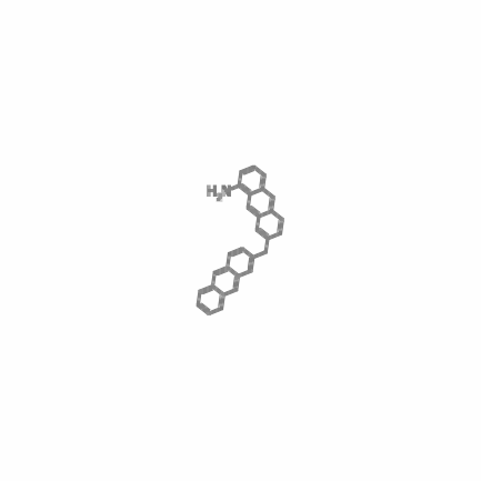 Nc1cccc2cc3ccc(Cc4ccc5cc6ccccc6cc5c4)cc3cc12